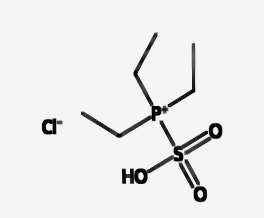 CC[P+](CC)(CC)S(=O)(=O)O.[Cl-]